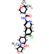 CC1(C)C[C@H](C(=O)Nc2cc3cc(C4CCN([C@@]5(C)COC[C@H]5O)CC4)c(Cl)cc3cn2)CCO1